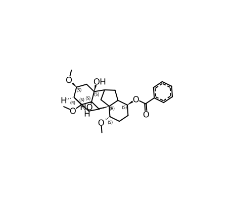 CO[C@H]1C[C@]2(O)C3CC4[C@@H](OC(=O)c5ccccc5)CC[C@H](OC)[C@@]4(C3)C3C[C@H]1[C@H](OC)[C@@]32O